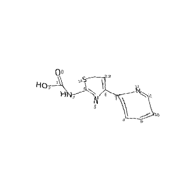 O=C(O)Nc1nc(-c2ccccn2)cs1